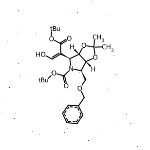 CC(C)(C)OC(=O)C(=CO)[C@H]1[C@@H]2OC(C)(C)O[C@@H]2[C@@H](COCc2ccccc2)N1C(=O)OC(C)(C)C